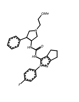 COCCN1CC(NC(=O)Nc2c3c(nn2-c2ccc(F)cc2)CCC3)C(c2ccccc2)C1